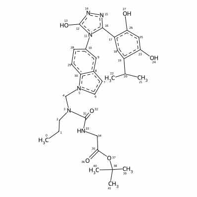 CCCN(Cn1ccc2cc(-n3c(O)nnc3-c3cc(C(C)C)c(O)cc3O)ccc21)C(=O)NCC(=O)OC(C)(C)C